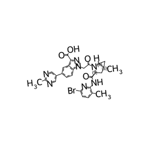 Cc1ncc(-c2ccc3c(c2)c(C(=O)O)nn3CC(=O)N2[C@H](C(=O)Nc3nc(Br)ccc3C)C[C@]3(C)C[C@@H]23)cn1